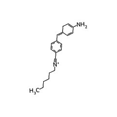 CCCCCC[N+]#Cc1ccc(C=C2C=CC(N)=CC2)cc1